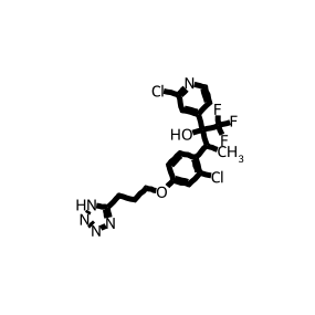 CC(c1ccc(OCCCc2nnn[nH]2)cc1Cl)C(O)(c1ccnc(Cl)c1)C(F)(F)F